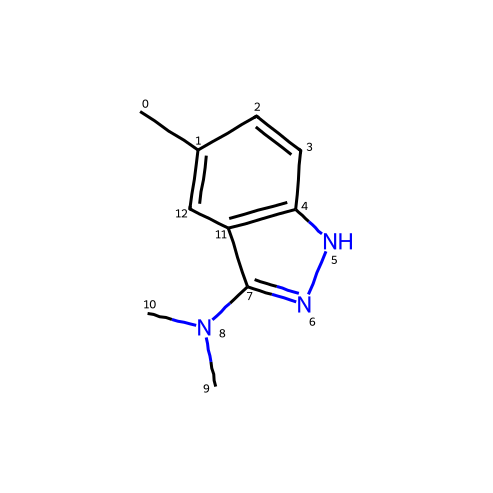 Cc1ccc2[nH]nc(N(C)C)c2c1